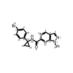 CC(C)n1ncc2cnc(C(=O)NC3(c4ccc(Br)cc4)CC3)nc21